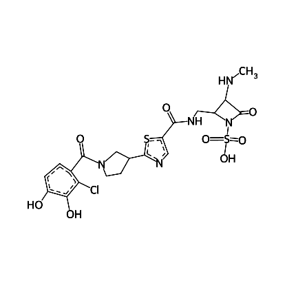 CNC1C(=O)N(S(=O)(=O)O)C1CNC(=O)c1cnc(C2CCN(C(=O)c3ccc(O)c(O)c3Cl)C2)s1